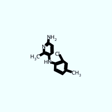 Cc1ccc(Nc2ccc(N)nc2C)c(Cl)c1